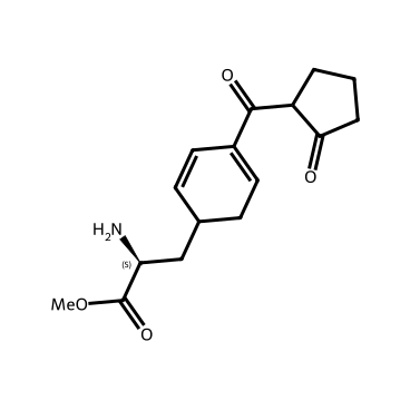 COC(=O)[C@@H](N)CC1C=CC(C(=O)C2CCCC2=O)=CC1